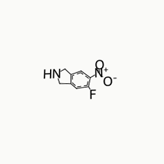 O=[N+]([O-])c1cc2c(cc1F)CNC2